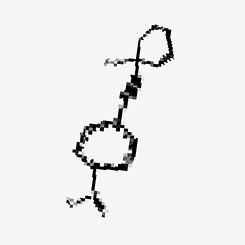 O=[N+]([O-])c1ccc(C#CC2(O)CCCCC2)cc1